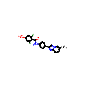 Cc1ccc2nc(-c3ccc(NC(=O)c4c(F)cc(O)cc4F)cc3)cn2c1